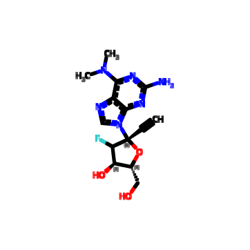 C#C[C@@]1(n2cnc3c(N(C)C)nc(N)nc32)O[C@H](CO)[C@@H](O)C1F